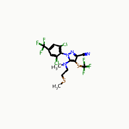 CSCCN(C)c1c(SC(F)(F)F)c(C#N)nn1-c1c(Cl)cc(C(F)(F)F)cc1Cl